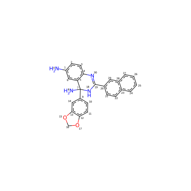 Nc1ccc2c(c1)C(N)(c1ccc3c(c1)OCO3)NC(c1ccc3ccccc3c1)=N2